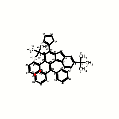 CC(C)(C)c1ccc2c(c1)=[C]c1c(C3=CC=CC3)c(C(C)(C)C)c(-c3ccccc3)c(=C(c3ccccc3)c3ccccc3)c1=2